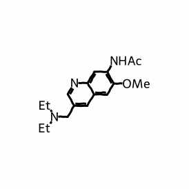 CCN(CC)Cc1cnc2cc(NC(C)=O)c(OC)cc2c1